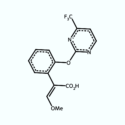 CO/C=C(\C(=O)O)c1ccccc1Oc1nccc(C(F)(F)F)n1